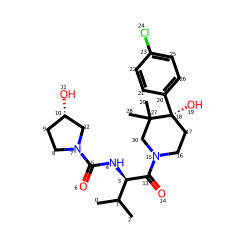 CC(C)[C@@H](NC(=O)N1CC[C@H](O)C1)C(=O)N1CC[C@](O)(c2ccc(Cl)cc2)C(C)(C)C1